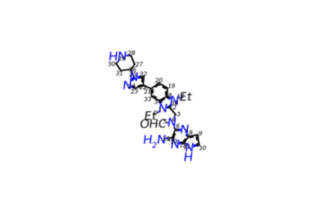 CCn1c(CN(C=O)c2nc3cc[nH]c3nc2N)[n+](CC)c2ccc(-c3cnn(C4CCNCC4)c3)cc21